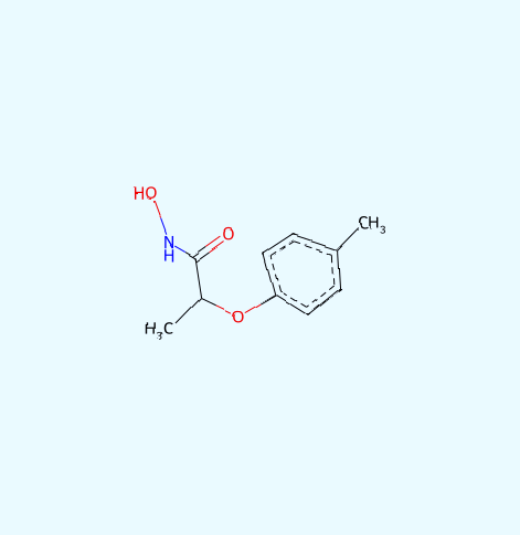 Cc1ccc(OC(C)C(=O)NO)cc1